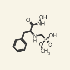 COP(=O)(O)CNC(Cc1ccccc1)C(=O)NO